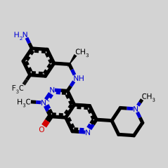 C[C@@H](Nc1nn(C)c(=O)c2cnc(C3CCCN(C)C3)cc12)c1cc(N)cc(C(F)(F)F)c1